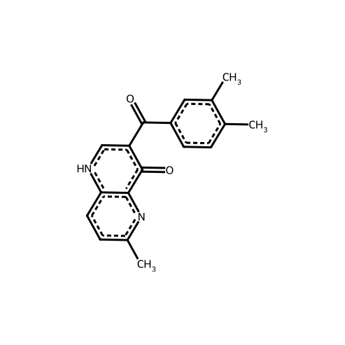 Cc1ccc2[nH]cc(C(=O)c3ccc(C)c(C)c3)c(=O)c2n1